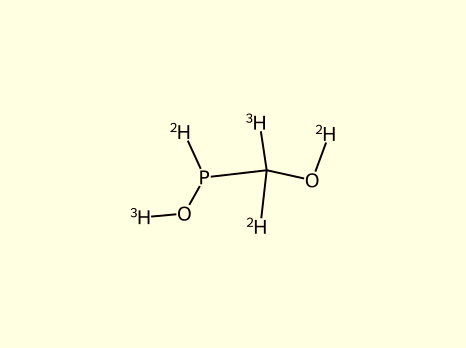 [2H]OC([2H])([3H])P([2H])O[3H]